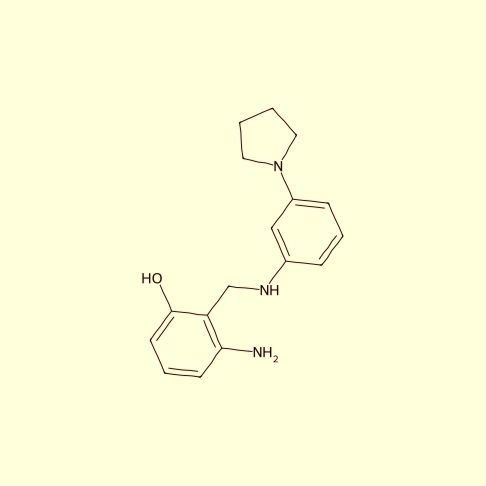 Nc1cccc(O)c1CNc1cccc(N2CCCC2)c1